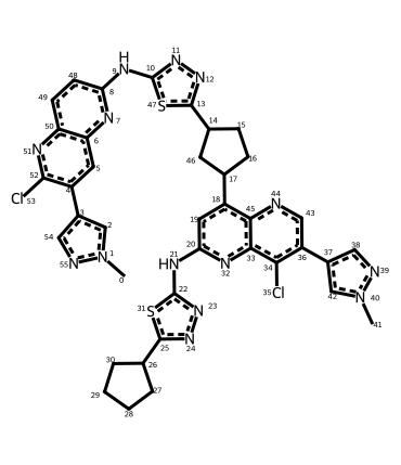 Cn1cc(-c2cc3nc(Nc4nnc(C5CCC(c6cc(Nc7nnc(C8CCCC8)s7)nc7c(Cl)c(-c8cnn(C)c8)cnc67)C5)s4)ccc3nc2Cl)cn1